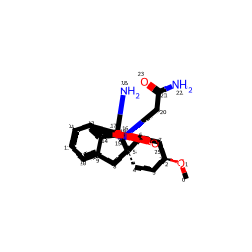 CO[C@H]1CC[C@]2(CC1)Cc1ccccc1C21N=C(N)N(CC(N)=O)C1=O